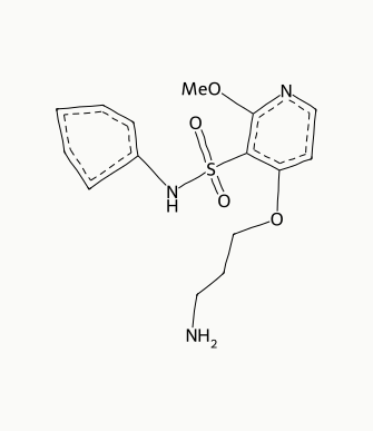 COc1nccc(OCCCN)c1S(=O)(=O)Nc1ccccc1